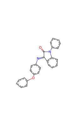 O=C1/C(=N/c2ccc(Oc3ccccc3)cc2)c2ccccc2N1c1ccccc1